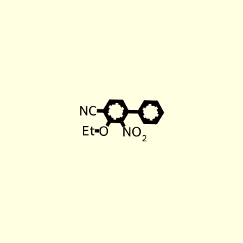 CCOc1c(C#N)ccc(-c2ccccc2)c1[N+](=O)[O-]